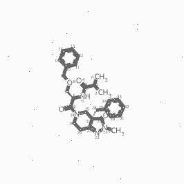 CC(C)C(=O)N[C@H](COCc1ccccc1)C(=O)N1CCC2=NN(C)C(=O)[C@]2(Cc2ccccc2)C1